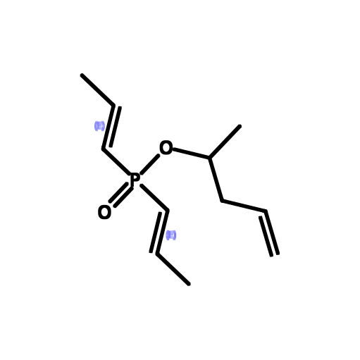 C=CCC(C)OP(=O)(/C=C/C)/C=C/C